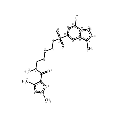 Cc1cn(C)nc1C(=O)N(C)CCOCCS(=O)(=O)c1cc(F)c2[nH]nc(C)c2c1